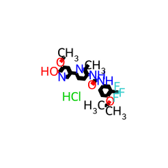 CCOc1cc(-c2ccc(NC(=O)Nc3ccc(OC(C)C)c(C(F)(F)F)c3)c(C)n2)cnc1O.Cl